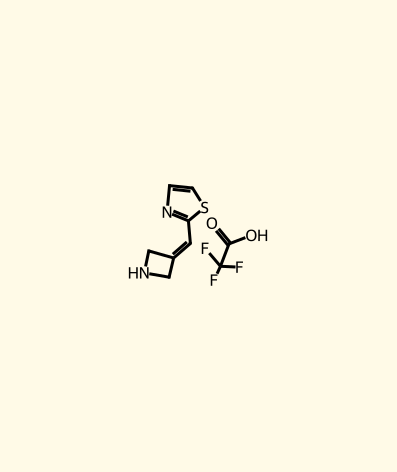 C(=C1CNC1)c1nccs1.O=C(O)C(F)(F)F